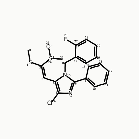 CSC(=Cc1c(Cl)nc(-c2ccccc2)n1Cc1ccccc1F)[S+](C)[O-]